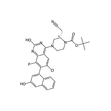 CC(C)(C)OC(=O)N1CCN(c2nc(O)nc3c(F)c(-c4cc(O)cc5ccccc45)c(Cl)cc23)C[C@@H]1CC#N